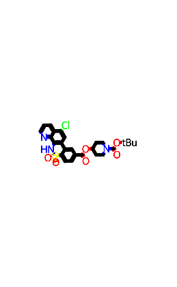 CC(C)(C)OC(=O)N1CCC(OC(=O)c2ccc3c(c2)-c2cc(Cl)c4cccnc4c2NS3(=O)=O)CC1